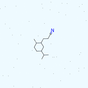 CC(C)C1CCC(C)C(CCC#N)C1